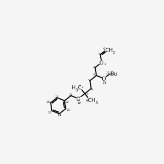 C=COCC(CCC(C)(C)OCc1ccccc1)OC(C)CC